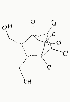 OCC1C(CO)C2(Cl)C(Cl)=C(Cl)C1(Cl)C2(Cl)Cl